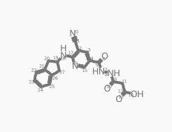 N#Cc1cc(C(=O)NNC(=O)CC(=O)O)cnc1NC1Cc2ccccc2C1